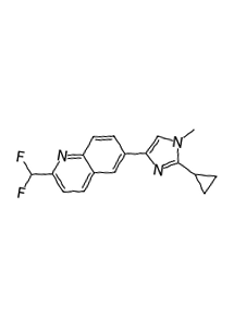 Cn1cc(-c2ccc3nc(C(F)F)ccc3c2)nc1C1CC1